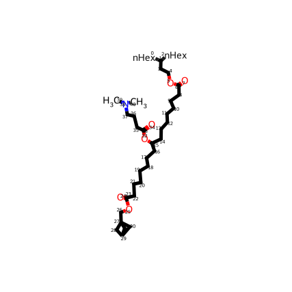 CCCCCCC(CCCCCC)CCOC(=O)CCCCCCCC(CCCCCCCC(=O)OCC12CC(C1)C2)OC(=O)CCCN(C)C